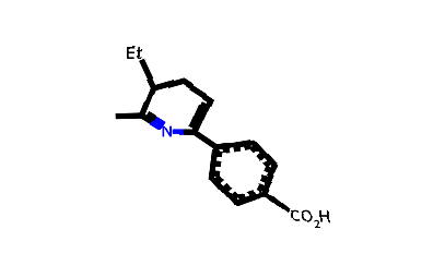 CCC1CC=C(c2ccc(C(=O)O)cc2)N=C1C